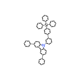 c1ccc(-c2ccc3c(c2)c2cc(-c4ccccc4)ccc2n3-c2cccc(-c3ccc([Si](c4ccccc4)(c4ccccc4)c4ccccc4)cc3)c2)cc1